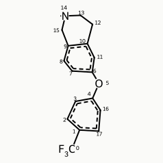 FC(F)(F)c1ccc(Oc2ccc3c(c2)CC[N]C3)cc1